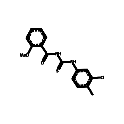 COc1ccccc1C(=O)NC(=S)Nc1ccc(C)c(Cl)c1